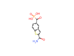 NC(=O)c1cc2cc(C(=O)P(=O)(O)O)ccc2s1